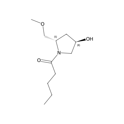 CCCCC(=O)N1C[C@H](O)C[C@H]1COC